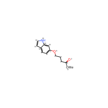 COC(=O)CCCOc1ccc2[c]c[nH]c2c1